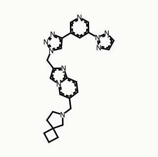 c1cnn(-c2cncc(-c3cn(Cc4cn5cc(CN6CCC7(CCC7)C6)ccc5n4)nn3)c2)n1